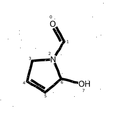 O=CN1CC=CC1O